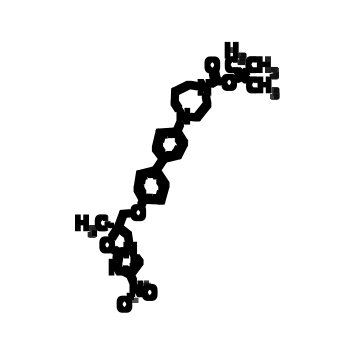 CC(C)(C)OC(=O)N1CCCN(c2ccc(-c3ccc(OC[C@@]4(C)Cn5cc([N+](=O)[O-])nc5O4)cc3)cc2)CC1